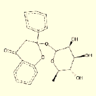 C[C@H]1OC(OC2(c3ccccc3)CC(=O)c3ccccc3O2)[C@@H](O)[C@@H](O)[C@@H]1O